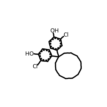 Oc1ccc(C2(c3ccc(O)c(Cl)c3)CCCCCCCCCCC2)cc1Cl